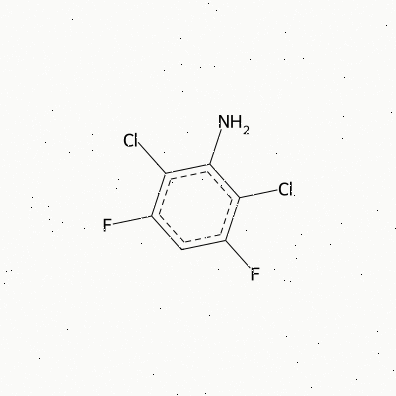 Nc1c(Cl)c(F)cc(F)c1Cl